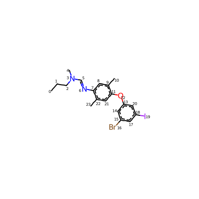 CCCN(C)/C=N/c1cc(C)c(Oc2cc(Br)cc(I)c2)cc1C